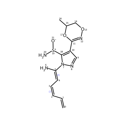 C=C/C=C\C=C(/N)n1ncc(C2=NOCC(C)O2)c1[S+](N)[O-]